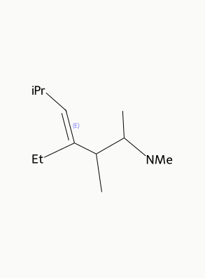 CC/C(=C\C(C)C)C(C)C(C)NC